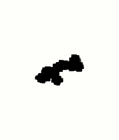 c1ccc(-c2nc(-c3ccc4ccc(-c5ccc6c7ccccc7c7ccccc7c6c5)cc4c3)nc(-c3nccc4c3ccc3ccccc34)n2)cc1